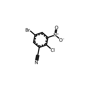 N#Cc1cc(Br)cc([N+](=O)[O-])c1Cl